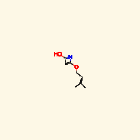 CC(C)=CCOC1=CC(O)=N1